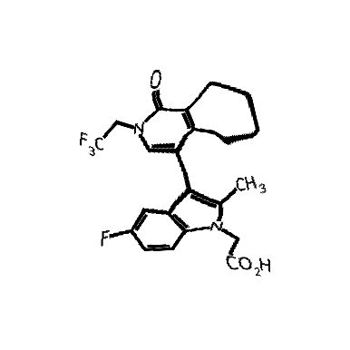 Cc1c(-c2cn(CC(F)(F)F)c(=O)c3c2CCCC3)c2cc(F)ccc2n1CC(=O)O